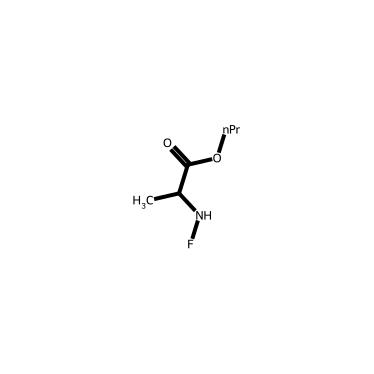 CCCOC(=O)C(C)NF